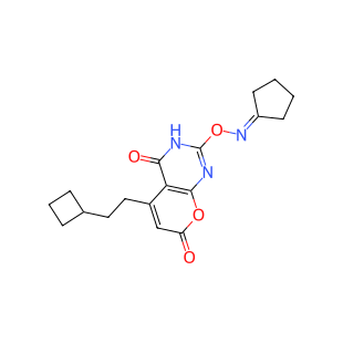 O=c1cc(CCC2CCC2)c2c(=O)[nH]c(ON=C3CCCC3)nc2o1